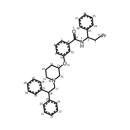 CC(C)CC(NC(=O)c1cccc(OC2CCCN(CC(c3ccccc3)c3ccccc3)C2)c1)c1ccccc1